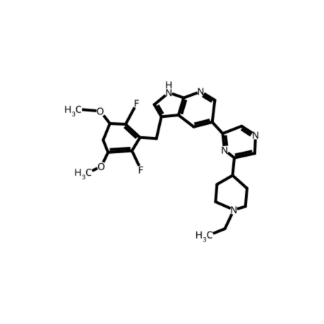 CCN1CCC(c2cncc(-c3cnc4[nH]cc(CC5=C(F)C(OC)CC(OC)=C5F)c4c3)n2)CC1